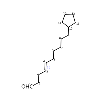 O=CCC/C=C/CCCCCC1CCCC1